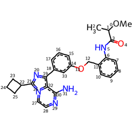 COC(C)C(=O)Nc1ccccc1COc1cccc(-c2nc(C3CCC3)n3ccnc(N)c23)c1